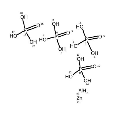 O=P(O)(O)O.O=P(O)(O)O.O=P(O)(O)O.O=P(O)(O)O.[AlH3].[Zn]